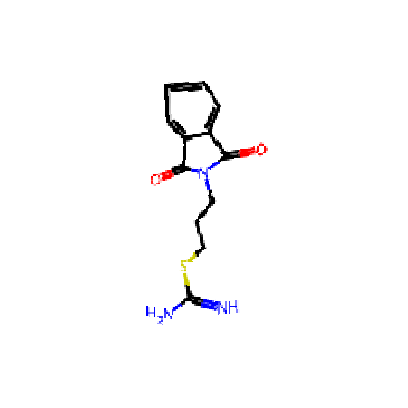 N=C(N)SCCCN1C(=O)c2ccccc2C1=O